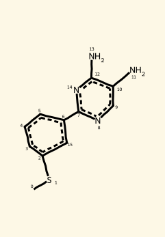 CSc1cccc(-c2ncc(N)c(N)n2)c1